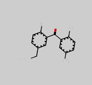 CCOC(=O)Cc1ccc(CC)c(C(=O)c2cc(C#N)ccc2CC)c1